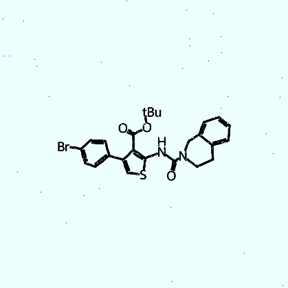 CC(C)(C)OC(=O)c1c(-c2ccc(Br)cc2)csc1NC(=O)N1CCc2ccccc2C1